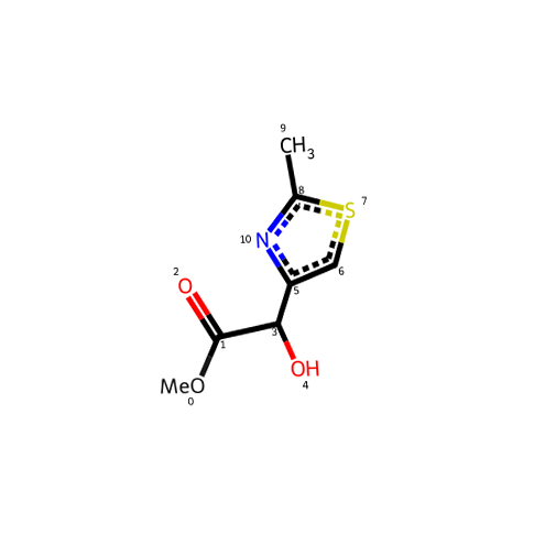 COC(=O)C(O)c1csc(C)n1